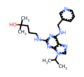 CC(C)n1cnc2c(NCc3cccnc3)nc(NCCCC(C)(C)O)nc21